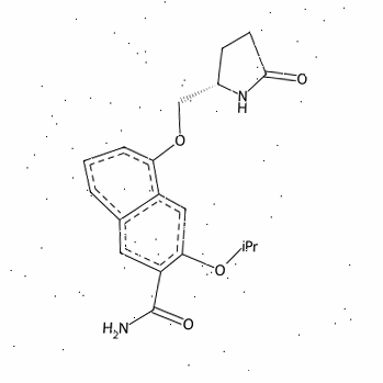 CC(C)Oc1cc2c(OC[C@@H]3CCC(=O)N3)cccc2cc1C(N)=O